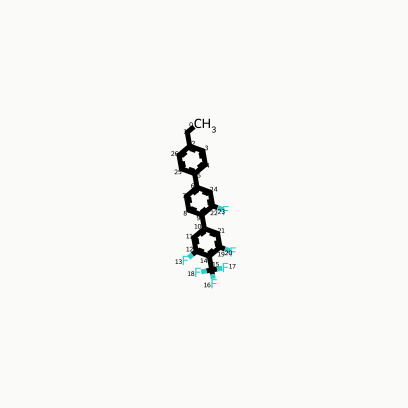 CCc1ccc(-c2ccc(-c3cc(F)c(C(F)(F)F)c(F)c3)c(F)c2)cc1